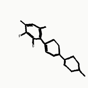 Cc1cc(C)c(C2=CCC(C3CCC(C)CC3)CC2)c(F)c1F